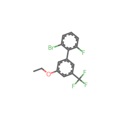 CCOc1cc(-c2c(F)cccc2Br)cc(C(F)(F)F)c1